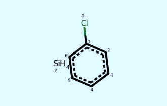 Clc1ccccc1.[SiH4]